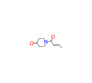 CC=CC(=O)N1CCC(=O)CC1